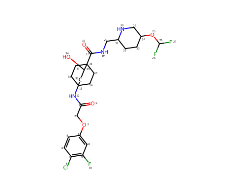 O=C(COc1ccc(Cl)c(F)c1)NC12CCC(C(=O)NCC3CCC(OC(F)F)CN3)(CC1)C(O)C2